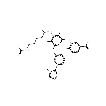 Cn1ccnc1-c1cccc(Oc2nc(Oc3cc(C(=N)N)ccc3O)c(F)c(NC(CCCCNC(=N)N)C(=O)O)c2F)c1